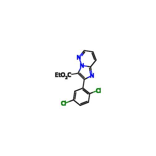 CCOC(=O)c1c(-c2cc(Cl)ccc2Cl)nc2cccnn12